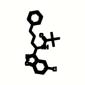 CC(C)(C)C(=O)NC(CCCc1ccccc1)c1noc2ccc(Cl)cc12